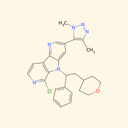 Cc1nnn(C)c1-c1cnc2c3ccnc(Cl)c3n(C(CC3CCOCC3)c3ccccc3)c2c1